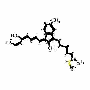 C\C=C/C(C)=C\C=C\C=C1\C(C)=C(CCCCCB(C)SCCC)c2cc(C)ccc21